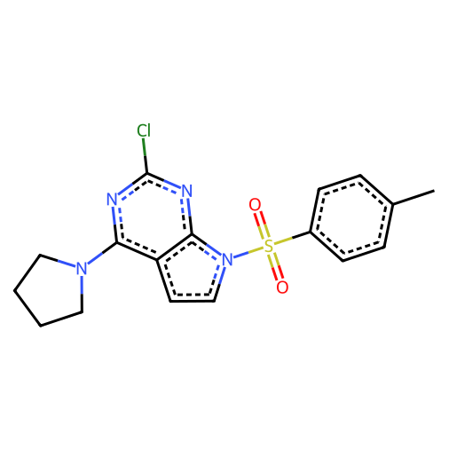 Cc1ccc(S(=O)(=O)n2ccc3c(N4CCCC4)nc(Cl)nc32)cc1